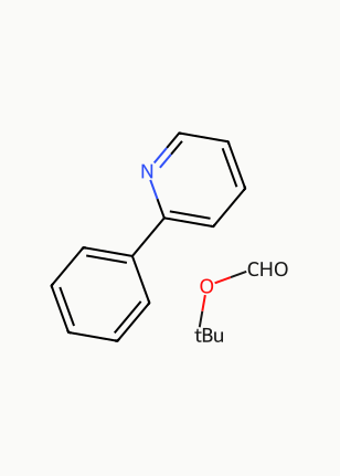 CC(C)(C)OC=O.c1ccc(-c2ccccn2)cc1